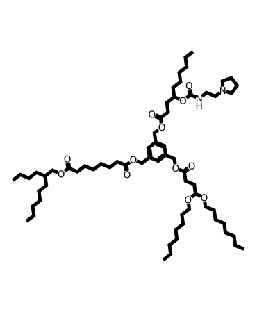 CCCCCCCCOC(CCC(=O)OCc1cc(COC(=O)CCCCCCC(=O)OCC(CCCC)CCCCCC)cc(COC(=O)CCC(CCCCCC)OC(=O)NCCN2CCCC2)c1)OCCCCCCCC